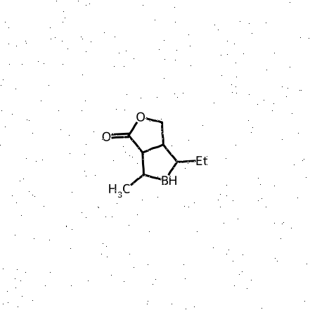 CCC1BC(C)C2C(=O)OCC12